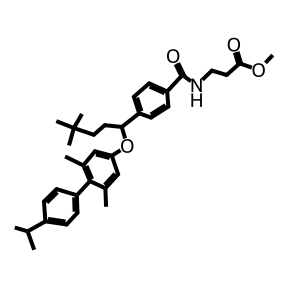 COC(=O)CCNC(=O)c1ccc(C(CCC(C)(C)C)Oc2cc(C)c(-c3ccc(C(C)C)cc3)c(C)c2)cc1